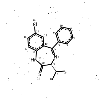 CC(C)[C@H]1N=C(c2ccccc2)c2cc(Cl)ccc2NC1=S